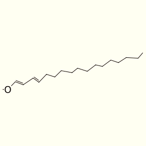 CCCCCCCCCCCCC/C=C/C=C/[O]